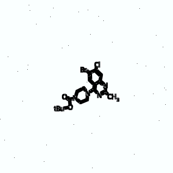 Cc1nc(N2CCN(C(=O)OC(C)(C)C)CC2)c2cc(Br)c(Cl)cc2n1